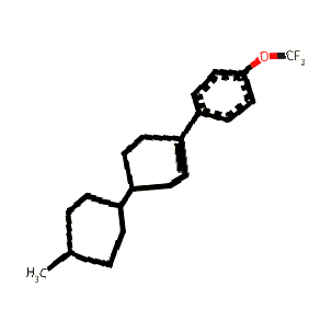 CC1CCC(C2CC=C(c3ccc(OC(F)(F)F)cc3)CC2)CC1